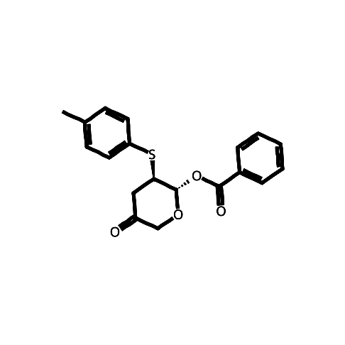 Cc1ccc(S[C@@H]2CC(=O)CO[C@H]2OC(=O)c2ccccc2)cc1